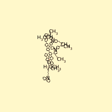 CCCCc1ccc(N(c2ccc(CCCC)cc2)c2ccc(C3(c4ccc(N(c5ccc(CCCC)cc5)c5ccc(CCCC)cc5)cc4)c4cc(-c5ccc(C(C)(C)C)cc5)ccc4-c4ccc(-c5ccc6c(c5)C5(c7ccccc7-c7ccc(OCCCCCCCCCCn8c9ccccc9c9ccccc98)cc75)c5cc(-c7ccc(C(C)(C)C)cc7)ccc5-6)cc43)cc2)cc1